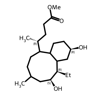 CC[C@@H]1C2C[C@H](O)CCC2C([C@H](C)CCC(=O)OC)CCC(C)C[C@@H]1O